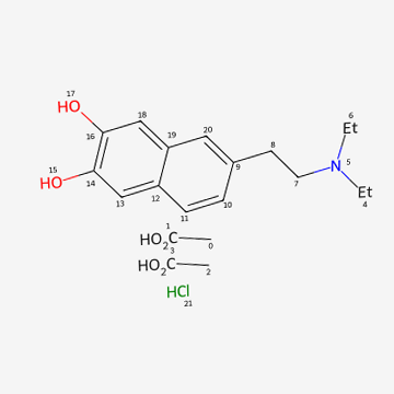 CC(=O)O.CC(=O)O.CCN(CC)CCc1ccc2cc(O)c(O)cc2c1.Cl